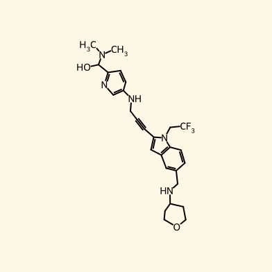 CN(C)C(O)c1ccc(NCC#Cc2cc3cc(CNC4CCOCC4)ccc3n2CC(F)(F)F)cn1